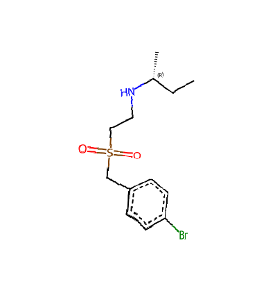 CC[C@@H](C)NCCS(=O)(=O)Cc1ccc(Br)cc1